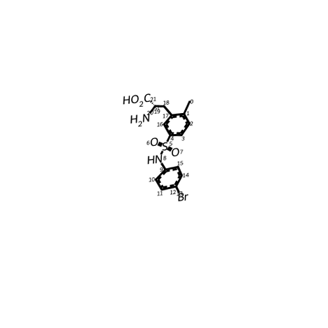 Cc1ccc(S(=O)(=O)Nc2ccc(Br)cc2)cc1C[C@H](N)C(=O)O